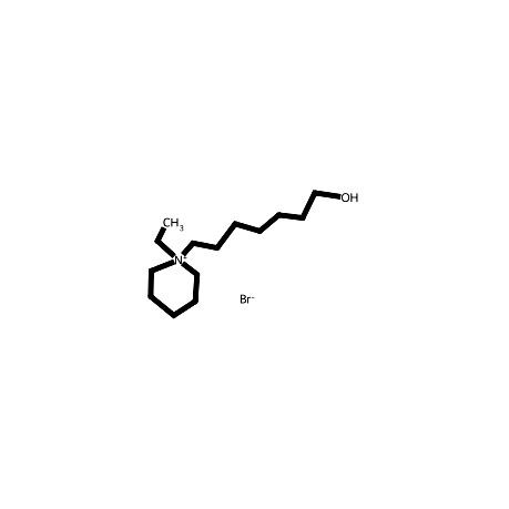 CC[N+]1(CCCCCCCO)CCCCC1.[Br-]